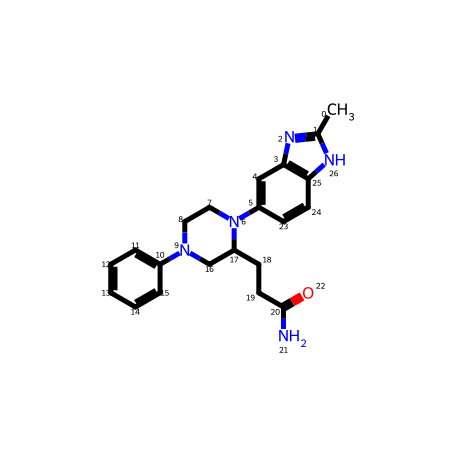 Cc1nc2cc(N3CCN(c4ccccc4)CC3CCC(N)=O)ccc2[nH]1